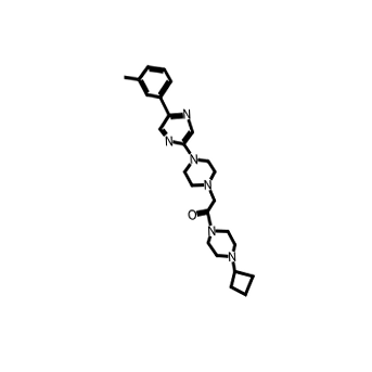 Cc1cccc(-c2cnc(N3CCN(CC(=O)N4CCN(C5CCC5)CC4)CC3)cn2)c1